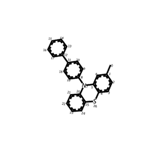 Cc1ccc2c(c1)N(c1ccc(-c3ccccc3)cc1)c1ccccc1S2